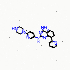 Nc1nc(Nc2ccc(N3CCNCC3)nc2)nc2c(-c3ccccn3)cccc12